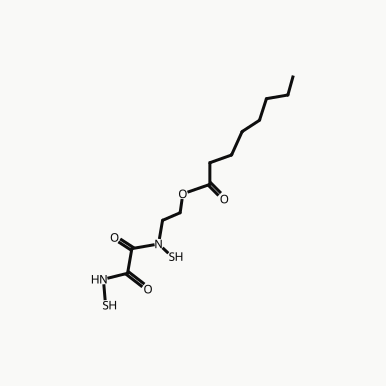 CCCCCCCC(=O)OCCN(S)C(=O)C(=O)NS